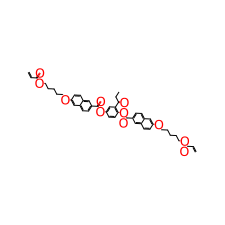 C=CC(=O)OCCCCCOc1ccc2cc(C(=O)Oc3ccc(OC(=O)c4ccc5cc(OCCCCCOC(=O)C=C)ccc5c4)c(C(=O)CC)c3)ccc2c1